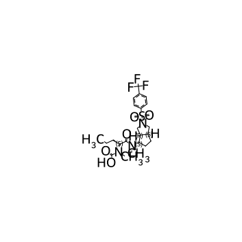 CCC[C@@H](C(=O)N(C)[C@H]1CC[C@@H]2CN(S(=O)(=O)c3ccc(C(F)(F)F)cc3)C[C@@H]21)N(C)C(=O)O